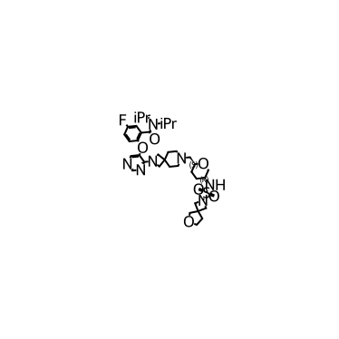 CC(C)N(C(=O)c1cc(F)ccc1Oc1cncnc1N1CC2(CCN(C[C@@H]3CC[C@@H](NS(=O)(=O)N4CC5(CCOC5)C4)CO3)CC2)C1)C(C)C